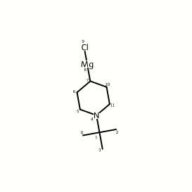 CC(C)(C)N1CC[CH]([Mg][Cl])CC1